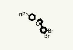 CCC[C@H]1CC[C@H](c2ccc(-c3ccc(Br)c(Br)c3)o2)CC1